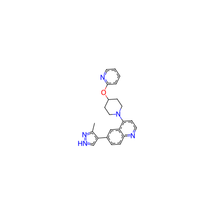 Cc1n[nH]cc1-c1ccc2nccc(N3CCC(Oc4ccccn4)CC3)c2c1